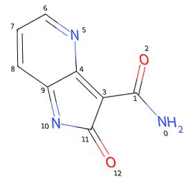 NC(=O)C1=c2ncccc2=NC1=O